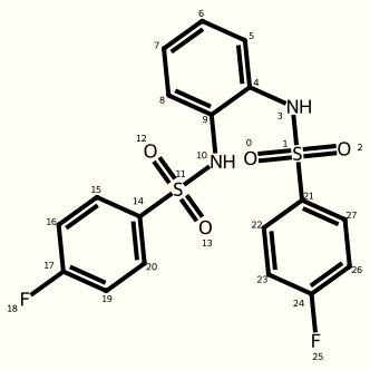 O=S(=O)(Nc1ccccc1NS(=O)(=O)c1ccc(F)cc1)c1ccc(F)cc1